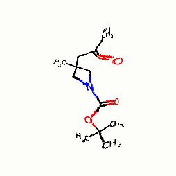 CC(=O)CC1(C)CN(C(=O)OC(C)(C)C)C1